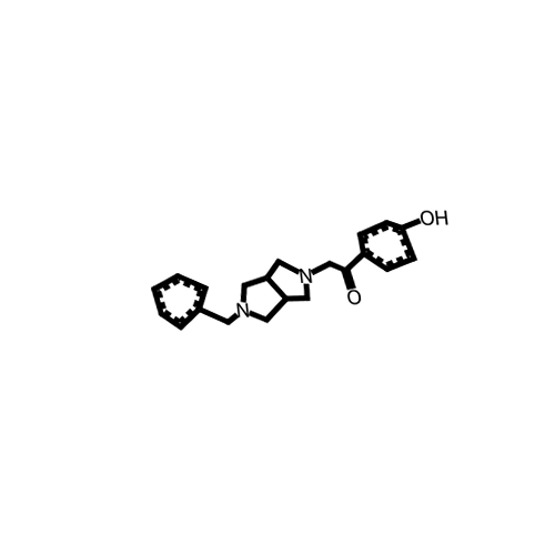 O=C(CN1CC2CN(Cc3ccccc3)CC2C1)c1ccc(O)cc1